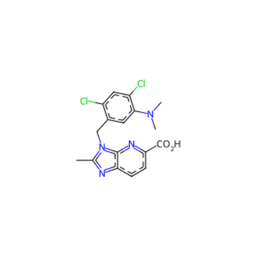 Cc1nc2ccc(C(=O)O)nc2n1Cc1cc(N(C)C)c(Cl)cc1Cl